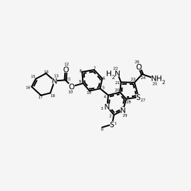 CSc1nc(-c2cccc(OC(=O)N3CC=CCC3)c2)c2c(N)c(C(N)=O)sc2n1